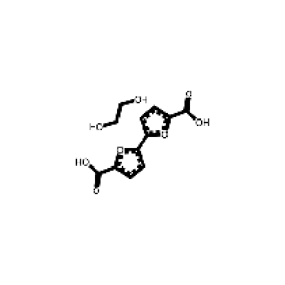 O=C(O)c1ccc(-c2ccc(C(=O)O)o2)o1.OCCO